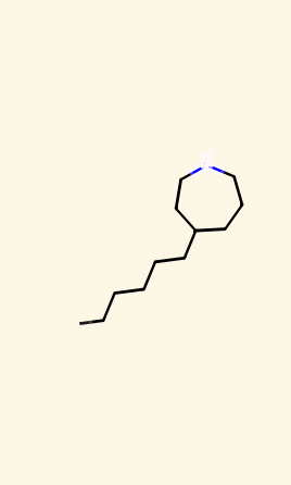 O=C(O)CCCCCC1CCCNCC1